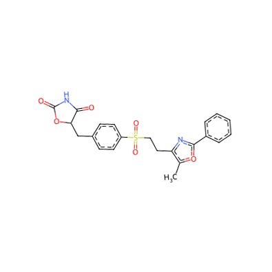 Cc1oc(-c2ccccc2)nc1CCS(=O)(=O)c1ccc(CC2OC(=O)NC2=O)cc1